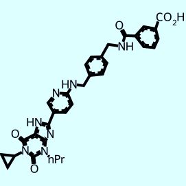 CCCn1c(=O)n(C2CC2)c(=O)c2[nH]c(-c3ccc(NCc4ccc(CNC(=O)c5cccc(C(=O)O)c5)cc4)nc3)nc21